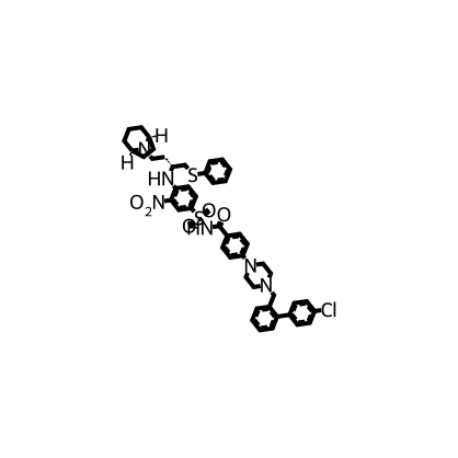 O=C(NS(=O)(=O)c1ccc(N[C@H](CCN2[C@@H]3CCC[C@H]2CC3)CSc2ccccc2)c([N+](=O)[O-])c1)c1ccc(N2CCN(Cc3ccccc3-c3ccc(Cl)cc3)CC2)cc1